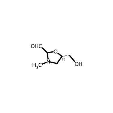 CN1C[C@@H](CO)OC1C=O